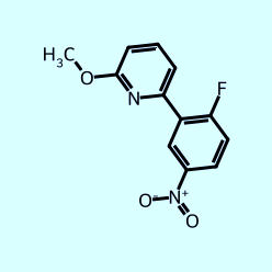 COc1cccc(-c2cc([N+](=O)[O-])ccc2F)n1